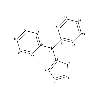 C1=CCC(P(c2ccccc2)c2ccccc2)=C1